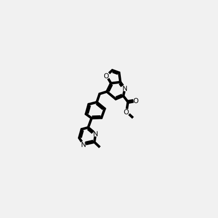 COC(=O)c1cc(Cc2ccc(-c3ccnc(C)n3)cc2)c2occc2n1